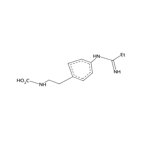 CCC(=N)Nc1ccc(CCNC(=O)O)cc1